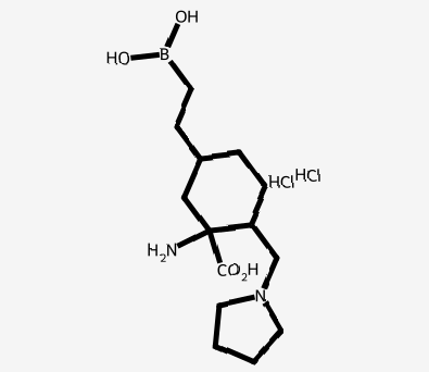 Cl.Cl.NC1(C(=O)O)CC(CCB(O)O)CCC1CN1CCCC1